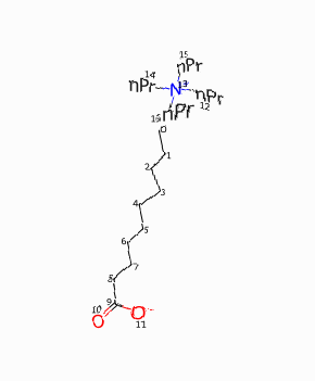 CCCCCCCCCC(=O)[O-].CCC[N+](CCC)(CCC)CCC